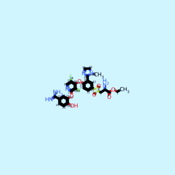 CCOC(=O)C(N)CS(=O)(=O)c1ccc(Oc2c(F)cnc(Oc3cc(C(=N)N)ccc3O)c2F)c(C2N=CCN2C)c1